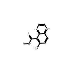 CNC(=O)c1c(N)ccc2nccnc12